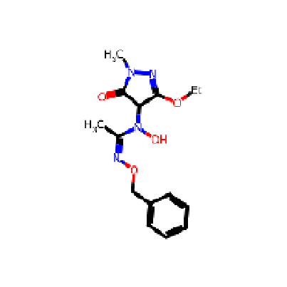 CCOC1=NN(C)C(=O)C1N(O)C(C)=NOCc1ccccc1